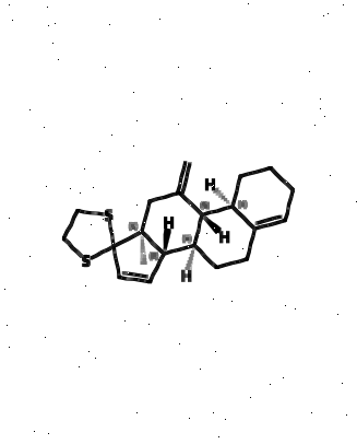 C=C1C[C@@]2(C)[C@@H](C=CC23SCCS3)[C@@H]2CCC3=CCCC[C@@H]3[C@@H]12